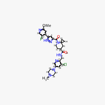 COc1cc(-c2cc(C(=O)N3CC[C@H](C(=O)NCc4ncc(N5CCN(C)CC5)cc4Cl)CC34CC4)n[nH]2)c(F)cn1